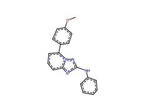 COc1ccc(-c2cccc3nc(Nc4ccccc4)nn23)cc1